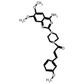 COc1cccc(C=CC(=O)N2CCN(c3nc(N)c4cc(OC)c(OC)cc4n3)CC2)c1